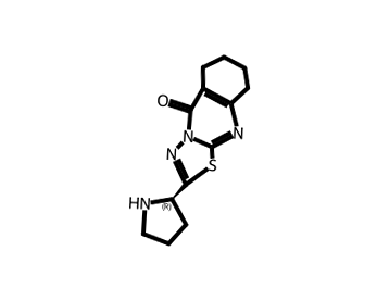 O=c1c2c(nc3sc([C@H]4CCCN4)nn13)CCCC2